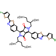 CCCCCCCCCCCCC(CCCCCCCCCC)CN1C(=O)C2=C(c3ccc4nc(-c5ccc(Br)s5)sc4c3)N(CC(CCCCCCCCCC)CCCCCCCCCCCC)C(=O)C2=C1c1ccc2nc(-c3ccc(Br)s3)sc2c1